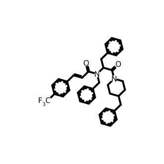 O=C(C(Cc1ccccc1)N(Cc1ccccc1)C(=O)C=Cc1ccc(C(F)(F)F)cc1)N1CCC(Cc2ccccc2)CC1